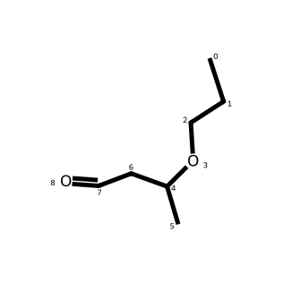 CCCOC(C)CC=O